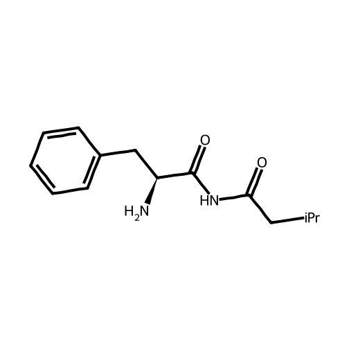 CC(C)CC(=O)NC(=O)[C@@H](N)Cc1ccccc1